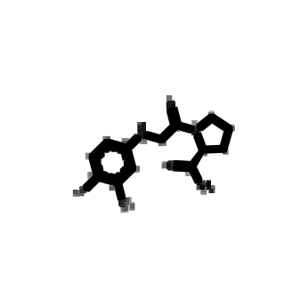 NC(=O)[C@@H]1CCCN1C(=O)CNc1ccc(F)c(C(F)(F)F)c1